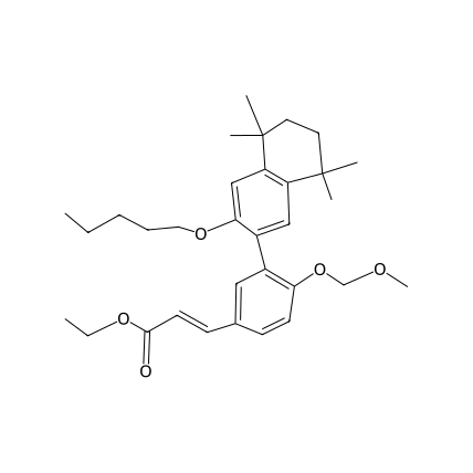 CCCCCOc1cc2c(cc1-c1cc(C=CC(=O)OCC)ccc1OCOC)C(C)(C)CCC2(C)C